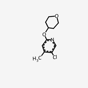 Cc1cc(OC2CCOCC2)ncc1Cl